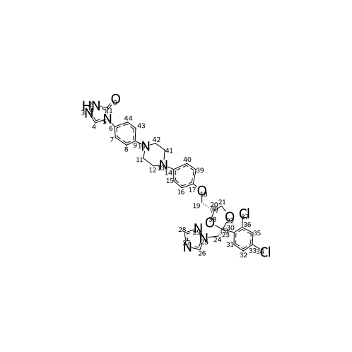 O=c1[nH]ncn1-c1ccc(N2CCN(c3ccc(OC[C@@H]4CO[C@@](Cn5cncn5)(c5ccc(Cl)cc5Cl)O4)cc3)CC2)cc1